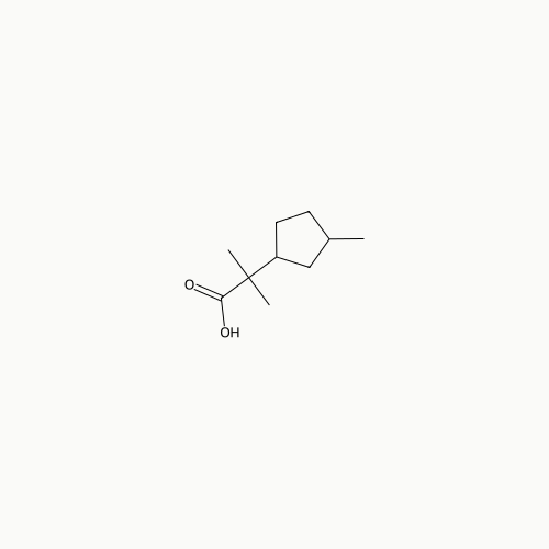 CC1CCC(C(C)(C)C(=O)O)C1